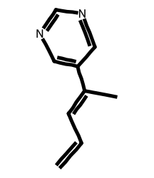 C=C/C=C(\C)c1cncnc1